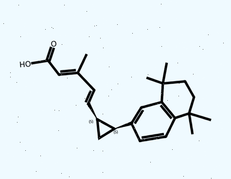 CC(C=C[C@@H]1C[C@@H]1c1ccc2c(c1)C(C)(C)CCC2(C)C)=CC(=O)O